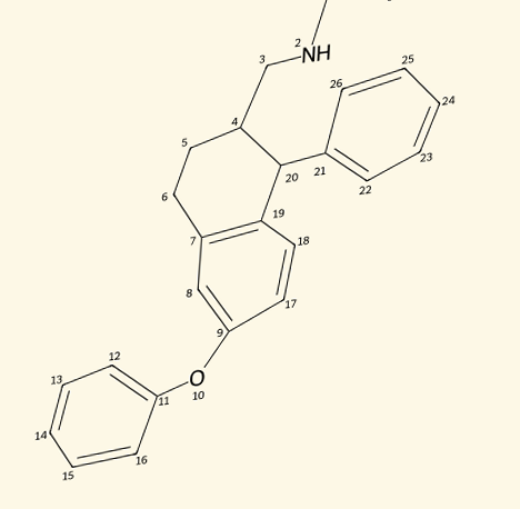 O=C(O)CNCC1CCc2cc(Oc3ccccc3)ccc2C1c1ccccc1